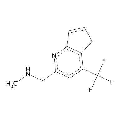 CNCc1cc(C(F)(F)F)c2c(n1)C=CC2